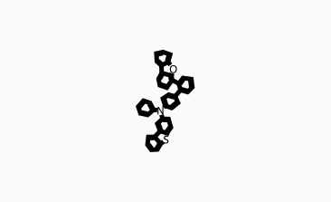 c1ccc(N(c2ccc(-c3ccccc3-c3cccc4c3oc3ccccc34)cc2)c2ccc3sc4ccccc4c3c2)cc1